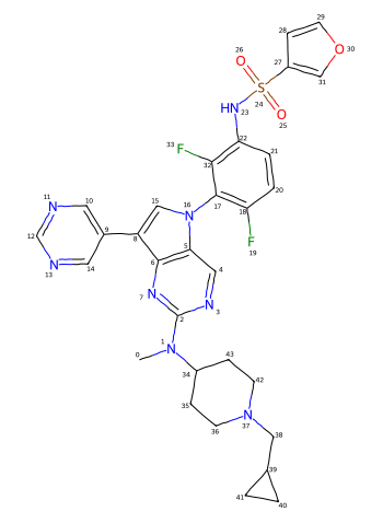 CN(c1ncc2c(n1)c(-c1cncnc1)cn2-c1c(F)ccc(NS(=O)(=O)c2ccoc2)c1F)C1CCN(CC2CC2)CC1